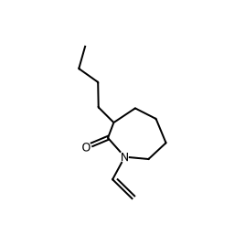 C=CN1CCCCC(CCCC)C1=O